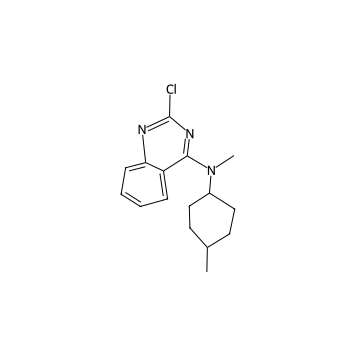 CC1CCC(N(C)c2nc(Cl)nc3ccccc23)CC1